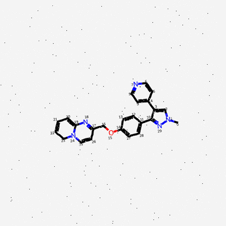 Cn1cc(-c2ccncc2)c(-c2ccc(OCC3=NC4=CC=CCN4C=C3)cc2)n1